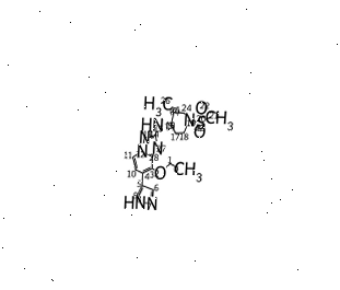 CCOc1c(-c2cn[nH]c2)ccn2nc(N[C@H]3CCN(S(C)(=O)=O)C[C@H]3C)nc12